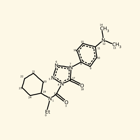 CCN(C(=O)n1nnn(-c2ccc(N(C)C)cc2)c1=O)C1CCCCC1